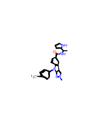 CC(NC(=O)c1ccc2c(c1)c1cn(C)nc1n2-c1ccc(C(F)(F)F)cc1)c1ccc[nH]1